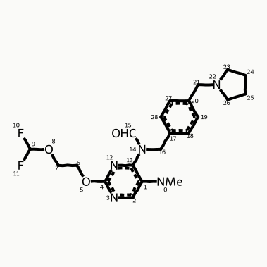 CNc1cnc(OCCOC(F)F)nc1N(C=O)Cc1ccc(CN2CCCC2)cc1